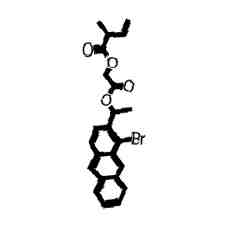 CCC(C)C(=O)OCC(=O)OC(C)c1ccc2cc3ccccc3cc2c1Br